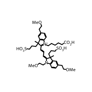 COCCc1ccc2c(c1)C(C)(CCCS(=O)(=O)O)C(/C=C/C=C1/N(CCOC)c3ccc(CCOC)cc3C1(C)CCCS(=O)(=O)O)=[N+]2CCCCCC(=O)O